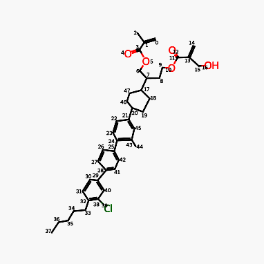 C=C(C)C(=O)OCC(CCOC(=O)C(=C)CO)C1CCC(c2ccc(-c3ccc(-c4ccc(CCCCC)c(Cl)c4)cc3)c(C)c2)CC1